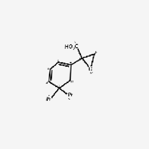 CC(C)C1(C(C)C)C=CC=C(C2(C(=O)O)CO2)C1